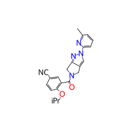 Cc1cccc(-n2cc3c(n2)CN(C(=O)c2cc(C#N)ccc2OC(C)C)C3)n1